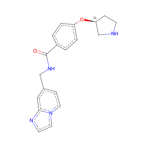 O=C(NCc1ccn2ccnc2c1)c1ccc(O[C@H]2CCNC2)cc1